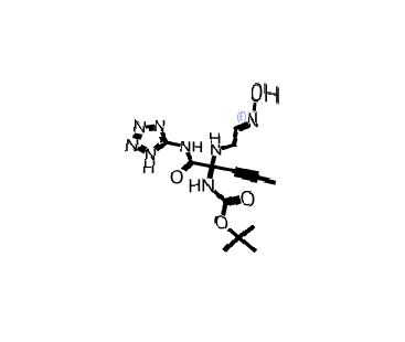 CC#CC(NC/C=N/O)(NC(=O)OC(C)(C)C)C(=O)Nc1nnn[nH]1